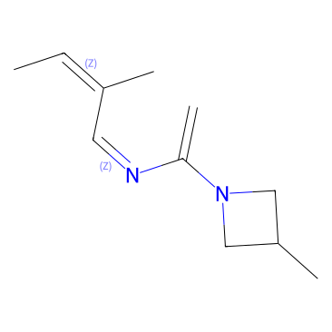 C=C(/N=C\C(C)=C/C)N1CC(C)C1